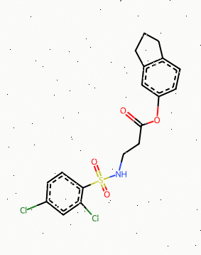 O=C(CCNS(=O)(=O)c1ccc(Cl)cc1Cl)Oc1ccc2c(c1)CCC2